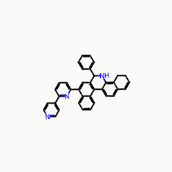 C1=Cc2ccc3c(c2CC1)NC(c1ccccc1)c1cc(-c2cccc(-c4ccncc4)n2)c2ccccc2c1-3